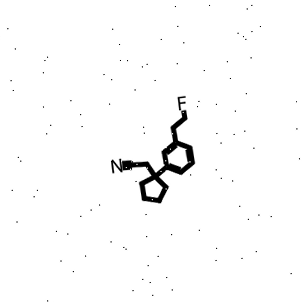 N#CCC1(c2cccc(CCF)c2)CCCC1